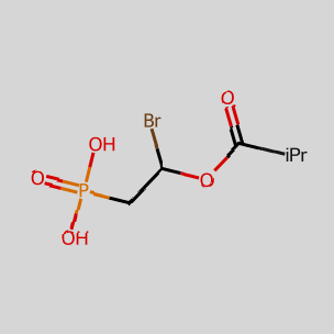 CC(C)C(=O)OC(Br)CP(=O)(O)O